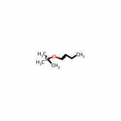 CCC=[C]O[Si](C)(C)C